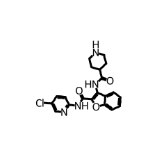 O=C(Nc1ccc(Cl)cn1)c1oc2ccccc2c1NC(=O)C1CCNCC1